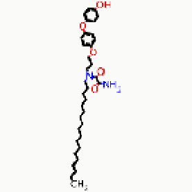 CCCCCCCCCCCCCCCCCCN(CCCOc1ccc(Oc2ccc(O)cc2)cc1)C(=O)C(N)=O